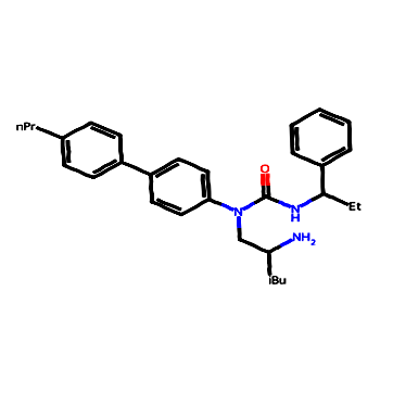 CCCc1ccc(-c2ccc(N(CC(N)C(C)CC)C(=O)NC(CC)c3ccccc3)cc2)cc1